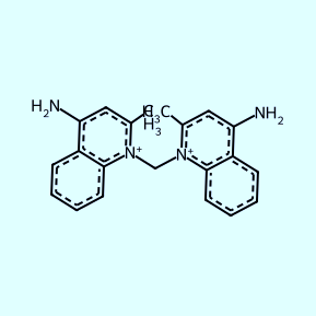 Cc1cc(N)c2ccccc2[n+]1C[n+]1c(C)cc(N)c2ccccc21